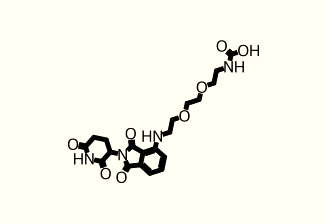 O=C(O)NCCOCCOCCNc1cccc2c1C(=O)N(C1CCC(=O)NC1=O)C2=O